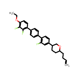 C=CCCC1CCC(c2ccc(-c3ccc(-c4ccc(OCC)c(F)c4F)cc3)c(F)c2)CO1